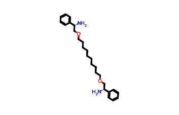 N[C@H](COCCCCCCCCCCOC[C@@H](N)c1ccccc1)c1ccccc1